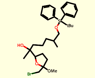 COC1(CBr)CCC(C(C)(O)CCCC(C)CO[Si](c2ccccc2)(c2ccccc2)C(C)(C)C)O1